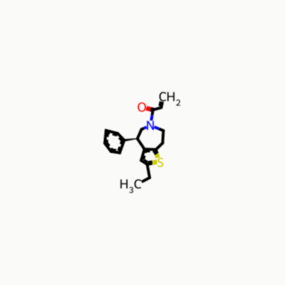 C=CC(=O)N1CCc2sc(CC)cc2[C@@H](c2ccccc2)C1